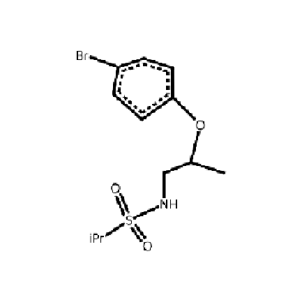 CC(CNS(=O)(=O)C(C)C)Oc1ccc(Br)cc1